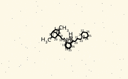 CC1CC2CC(C)CC(CCNc3ccccc3C(=N)CCCN3CCCCC3)(C1)C2